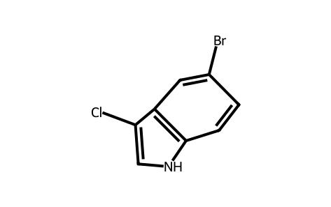 Clc1c[nH]c2ccc(Br)cc12